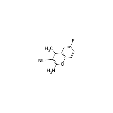 CC1C(C#N)=C(N)Oc2ccc(F)cc21